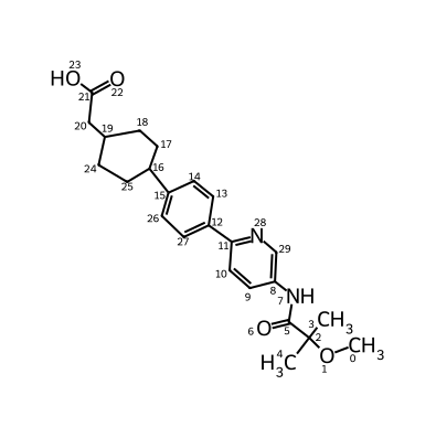 COC(C)(C)C(=O)Nc1ccc(-c2ccc(C3CCC(CC(=O)O)CC3)cc2)nc1